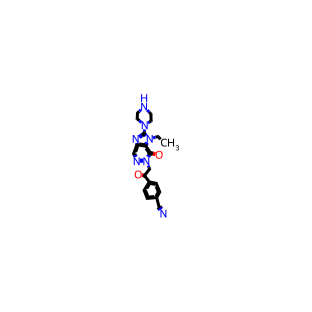 CCn1c(N2CCNCC2)nc2cnn(CC(=O)c3ccc(C#N)cc3)c(=O)c21